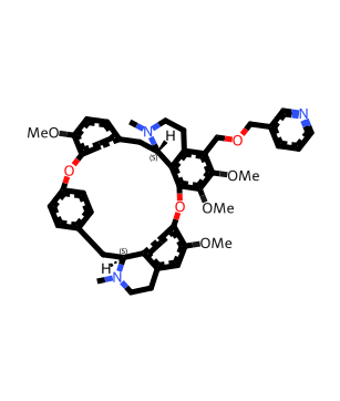 COc1ccc2cc1Oc1ccc(cc1)C[C@H]1c3cc(c(OC)cc3CCN1C)Oc1c(OC)c(OC)c(COCc3cccnc3)c3c1[C@H](C2)N(C)CC3